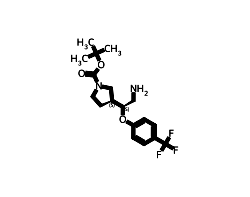 CC(C)(C)OC(=O)N1CC[C@H]([C@@H](CN)Oc2ccc(C(F)(F)F)cc2)C1